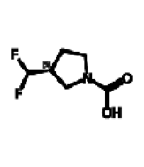 O=C(O)N1CC[C@H](C(F)F)C1